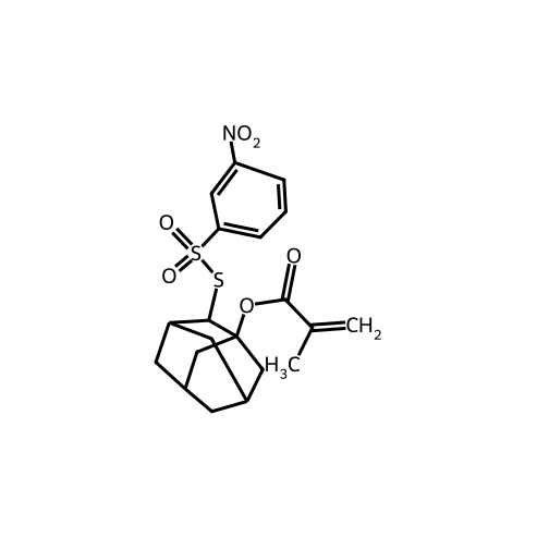 C=C(C)C(=O)OC12CC3CC(CC(C3)C1SS(=O)(=O)c1cccc([N+](=O)[O-])c1)C2